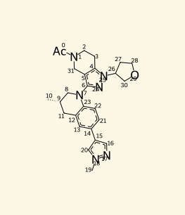 CC(=O)N1CCc2c(c(N3C[C@@H](C)Cc4cc(-c5cnn(C)c5)ccc43)nn2C2CCOC2)C1